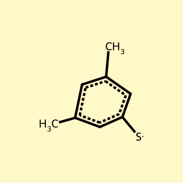 Cc1cc(C)cc([S])c1